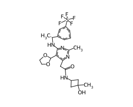 Cc1nc(CC(=O)NC2CC(C)(O)C2)c(C2OCCO2)c(N[C@H](C)c2cccc(S(F)(F)(F)(F)F)c2)n1